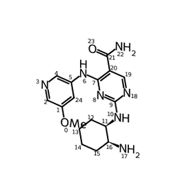 COc1cncc(Nc2nc(N[C@@H]3CCCC[C@@H]3N)ncc2C(N)=O)c1